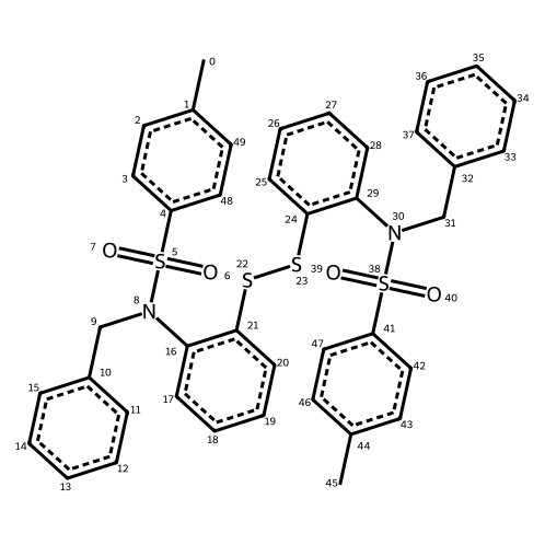 Cc1ccc(S(=O)(=O)N(Cc2ccccc2)c2ccccc2SSc2ccccc2N(Cc2ccccc2)S(=O)(=O)c2ccc(C)cc2)cc1